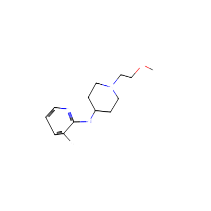 O=COCCN1CCC(Nc2ncccc2[N+](=O)[O-])CC1